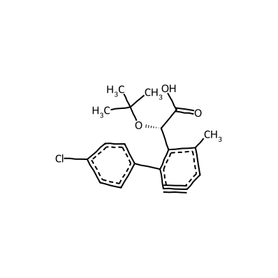 Cc1cc#cc(-c2ccc(Cl)cc2)c1[C@H](OC(C)(C)C)C(=O)O